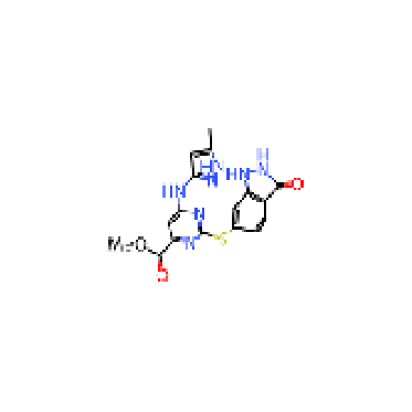 COC(=O)c1cc(Nc2cc(C)[nH]n2)nc(Sc2ccc3c(=O)[nH][nH]c3c2)n1